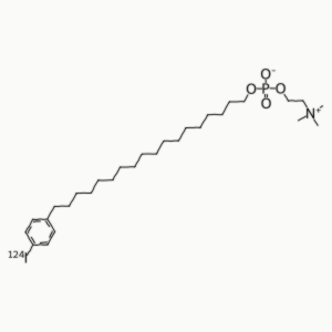 C[N+](C)(C)CCOP(=O)([O-])OCCCCCCCCCCCCCCCCCCc1ccc([124I])cc1